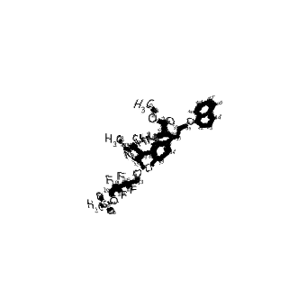 CCOC(=O)c1[nH]c2c(-c3c(COCC(F)(F)C(F)(F)COS(C)(=O)=O)nn(C)c3C)c(Cl)ccc2c1CCCOc1cccc2ccccc12